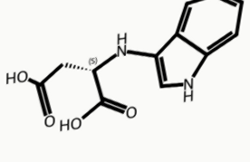 O=C(O)C[C@H](Nc1c[nH]c2ccccc12)C(=O)O